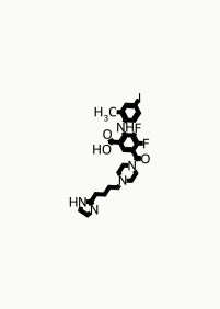 Cc1cc(I)ccc1Nc1c(C(=O)O)cc(C(=O)N2CCN(CCCCC3=NCCN3)CC2)c(F)c1F